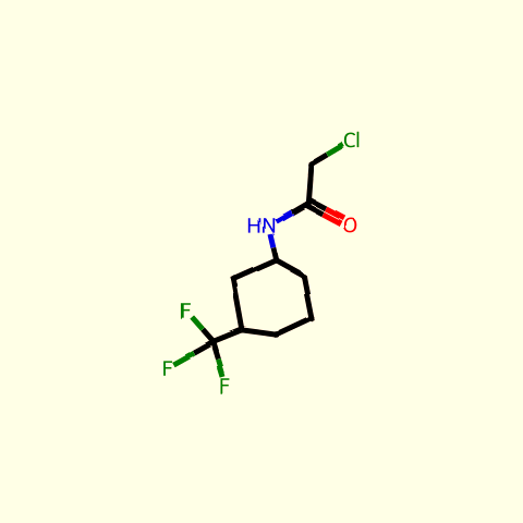 O=C(CCl)NC1CCCC(C(F)(F)F)C1